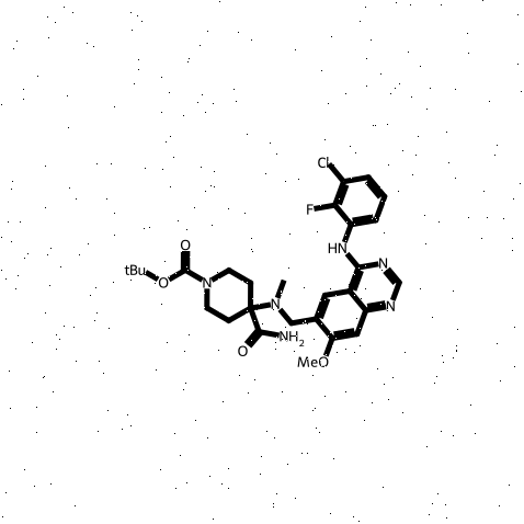 COc1cc2ncnc(Nc3cccc(Cl)c3F)c2cc1CN(C)C1(C(N)=O)CCN(C(=O)OC(C)(C)C)CC1